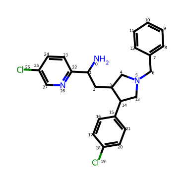 NC(CC1CN(Cc2ccccc2)CC1c1ccc(Cl)cc1)c1ccc(Cl)cn1